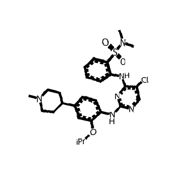 CC(C)Oc1cc(C2CCN(C)CC2)ccc1Nc1ncc(Cl)c(Nc2ccccc2S(=O)(=O)N(C)C)n1